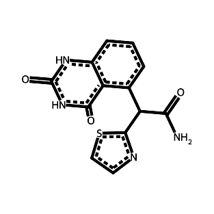 NC(=O)C(c1nccs1)c1cccc2[nH]c(=O)[nH]c(=O)c12